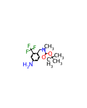 CN(Cc1ccc(N)cc1C(F)(F)F)C(=O)OC(C)(C)C